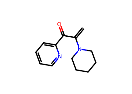 C=C(C(=O)c1ccccn1)N1CCCCC1